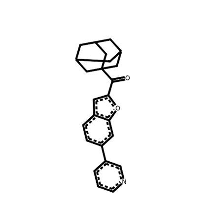 O=C(c1cc2ccc(-c3cccnc3)cc2o1)C12CC3CC(CC(C3)C1)C2